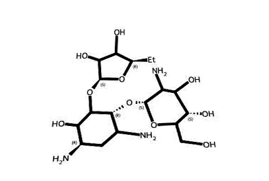 CC[C@H]1O[C@@H](OC2C(O)[C@H](N)CC(N)[C@H]2O[C@H]2OC(CO)[C@@H](O)C(O)C2N)C(O)C1O